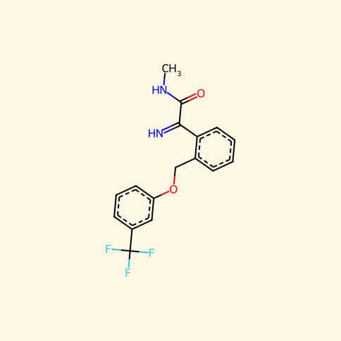 CNC(=O)C(=N)c1ccccc1COc1cccc(C(F)(F)F)c1